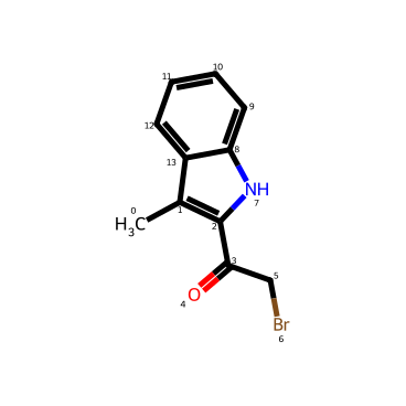 Cc1c(C(=O)CBr)[nH]c2ccccc12